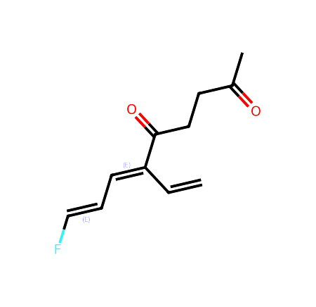 C=C/C(=C\C=C\F)C(=O)CCC(C)=O